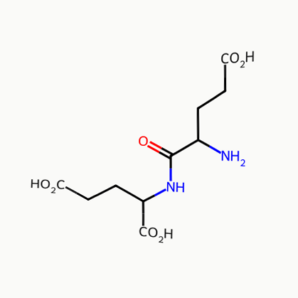 NC(CCC(=O)O)C(=O)NC(CCC(=O)O)C(=O)O